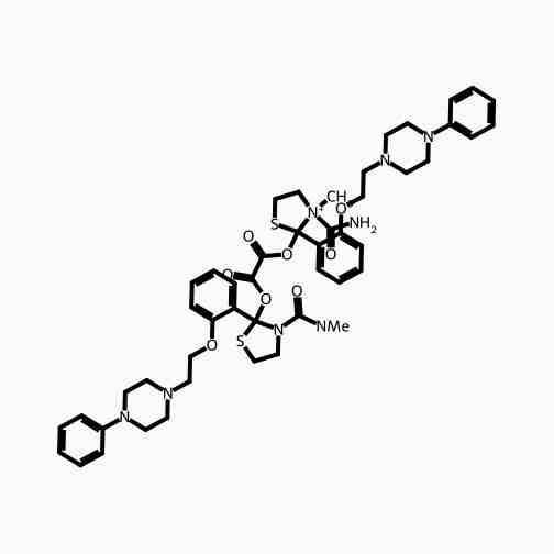 CNC(=O)N1CCSC1(OC(=O)C(=O)OC1(c2ccccc2OCCN2CCN(c3ccccc3)CC2)SCC[N+]1(C)C(N)=O)c1ccccc1OCCN1CCN(c2ccccc2)CC1